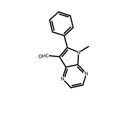 Cn1c(-c2ccccc2)c(C=O)c2nccnc21